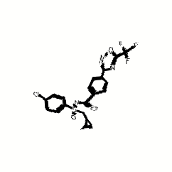 O=C(N=S(=O)(CC1CC1)c1ccc(Cl)cc1)c1ccc(-c2noc(C(F)(F)F)n2)cc1